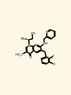 CC(C)(C)[C@@H](CO)n1cc(C(=O)O)c(=O)c2cc(Cc3cccc(Cl)c3F)c(NCc3ccccn3)nc21